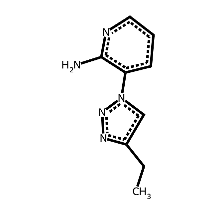 CCc1cn(-c2cccnc2N)nn1